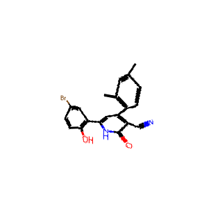 Cc1ccc(-c2cc(-c3cc(Br)ccc3O)[nH]c(=O)c2C#N)c(C)c1